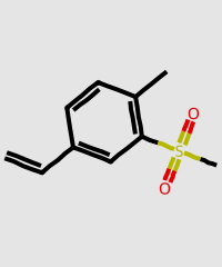 C=Cc1ccc(C)c(S(C)(=O)=O)c1